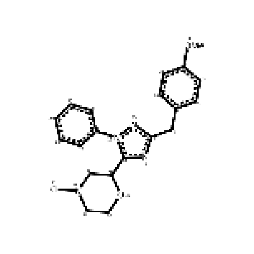 COc1ccc(Cc2nc(C3CN(Cl)CCO3)n(-c3ccccc3)n2)cc1